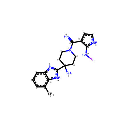 Cc1cccc2nc(C3(N)CCN(C(=N)c4cc[nH]c4NI)CC3)[nH]c12